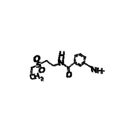 C=CS(=O)(=O)CCNC(=O)c1cccc([NH])c1